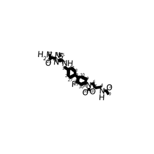 CC(=O)NCC1CN(c2ccc(-c3ccc(CNc4nc(C(N)=O)ns4)cc3)c(F)c2)C(=O)O1